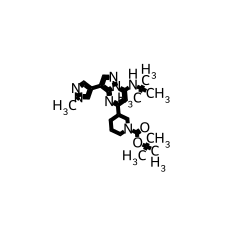 Cn1cc(-c2cnn3c(NC(C)(C)C)cc(C4CCCN(C(=O)OC(C)(C)C)C4)nc23)cn1